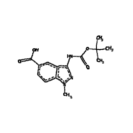 Cn1nc(NC(=O)OC(C)(C)C)c2cc(C(=O)O)ccc21